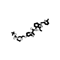 CCc1nn(Cc2cccc(C)n2)c2cccc(NC(=O)c3cnc4cc(OCC5CN(C(=O)OC(C)(C)C)CCO5)ccn34)c12